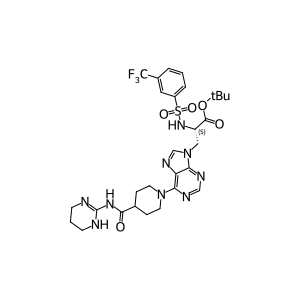 CC(C)(C)OC(=O)[C@H](Cn1cnc2c(N3CCC(C(=O)NC4=NCCCN4)CC3)ncnc21)NS(=O)(=O)c1cccc(C(F)(F)F)c1